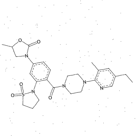 CCc1cnc(N2CCN(C(=O)c3ccc(N4CC(C)OC4=O)cc3N3CCCS3(=O)=O)CC2)c(C)c1